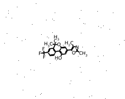 Cc1nc(C)c(-c2cc(O)c3c(c2)OC(C)(C)c2cc(C(F)(F)F)ccc2-3)o1